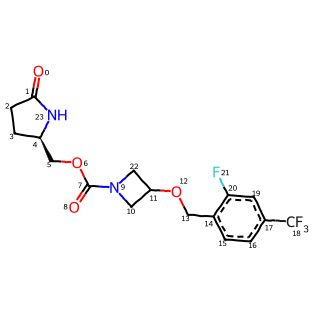 O=C1CC[C@H](COC(=O)N2CC(OCc3ccc(C(F)(F)F)cc3F)C2)N1